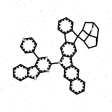 c1ccc2c(c1)-c1cc3c(cc1C21C2CC4CC5CC1C2(C4)C5)c1cc2ccccc2cc1n3-c1nc(-c2ccncc2)c2c(n1)oc1ccccc12